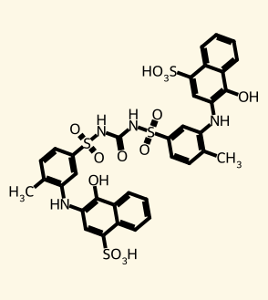 Cc1ccc(S(=O)(=O)NC(=O)NS(=O)(=O)c2ccc(C)c(Nc3cc(S(=O)(=O)O)c4ccccc4c3O)c2)cc1Nc1cc(S(=O)(=O)O)c2ccccc2c1O